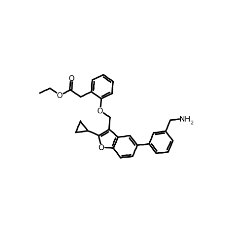 CCOC(=O)Cc1ccccc1OCc1c(C2CC2)oc2ccc(-c3cccc(CN)c3)cc12